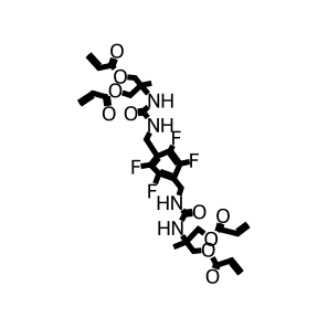 C=CC(=O)OCC(C)(COC(=O)C=C)NC(=O)NCc1c(F)c(F)c(CNC(=O)NC(C)(COC(=O)C=C)COC(=O)C=C)c(F)c1F